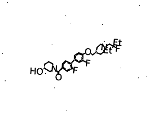 CCC(F)(CC)CN1CCC(COc2ccc(-c3ccc(C(=O)N4CCC[C@@H](O)C4)cc3F)cc2F)CC1